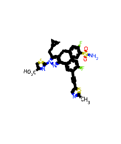 Cc1ncc(C#Cc2cc(-c3nn(-c4nc(C(=O)O)cs4)c(CC4CC4)c3Cc3ccc(S(N)(=O)=O)c(F)c3)ccc2F)s1